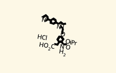 Cc1cc(-c2ccc(-c3cccnc3)cc2)nn1CCOc1ccc(CCC(=O)O)c(C(N)C(=O)OC(C)C)c1.Cl